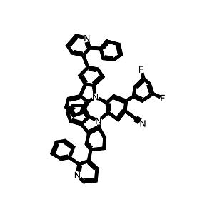 N#Cc1cc(-n2c3c(c4ccccc42)C=C(c2cccnc2-c2ccccc2)CC3)c(-n2c3ccccc3c3cc(-c4cccnc4-c4ccccc4)ccc32)cc1-c1cc(F)cc(F)c1